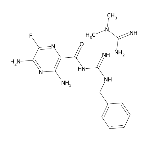 CN(C)C(=N)N.N=C(NCc1ccccc1)NC(=O)c1nc(F)c(N)nc1N